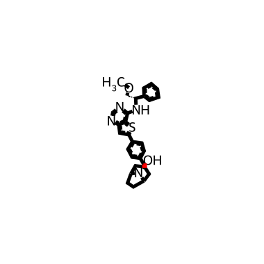 COC[C@@H](Nc1ncnc2cc(-c3ccc(CN4C5CCC4CC(O)C5)cc3)sc12)c1ccccc1